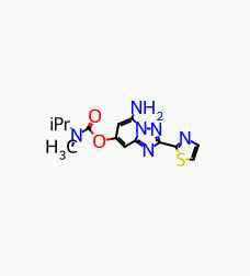 CC(C)N(C)C(=O)Oc1cc(N)n2nc(-c3nccs3)nc2c1